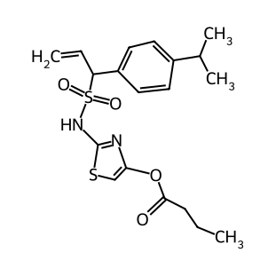 C=CC(c1ccc(C(C)C)cc1)S(=O)(=O)Nc1nc(OC(=O)CCC)cs1